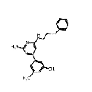 Cc1cc(C)cc(-c2cc(NCCCc3ccccc3)nc(N)n2)c1